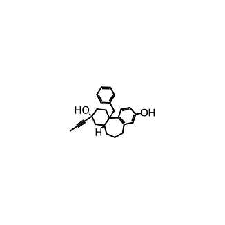 CC#C[C@@]1(O)CC[C@]2(Cc3ccccc3)c3ccc(O)cc3CCC[C@@H]2C1